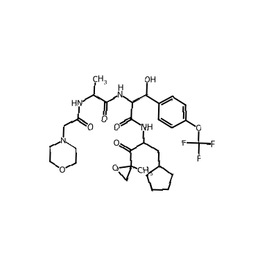 CC(NC(=O)CN1CCOCC1)C(=O)NC(C(=O)NC(CC1CCCC1)C(=O)C1(C)CO1)C(O)c1ccc(OC(F)(F)F)cc1